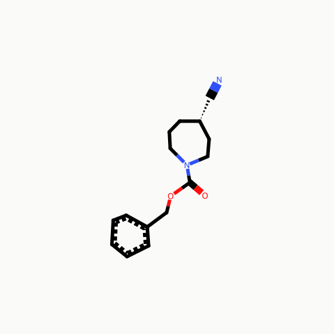 N#C[C@H]1CCCN(C(=O)OCc2ccccc2)CC1